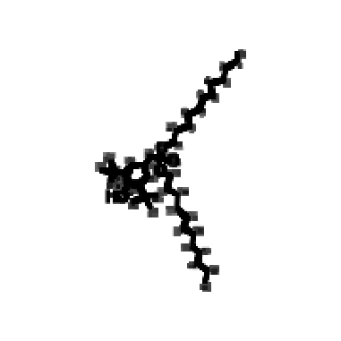 CCCCCCCCCCCCOP(=O)(Cc1cc(C(C)(C)C)c(O)c(C(C)(C)C)c1)OCCCCCCCCCCCC